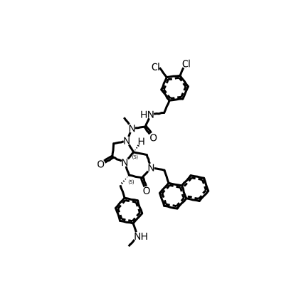 CNc1ccc(C[C@H]2C(=O)N(Cc3cccc4ccccc34)C[C@H]3N2C(=O)CN3N(C)C(=O)NCc2ccc(Cl)c(Cl)c2)cc1